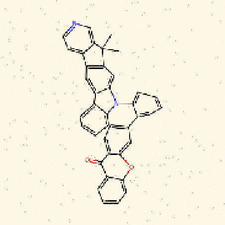 CC1(C)c2cnccc2-c2cc3c4ccccc4n(-c4ccccc4-c4ccc5c(=O)c6ccccc6oc5c4)c3cc21